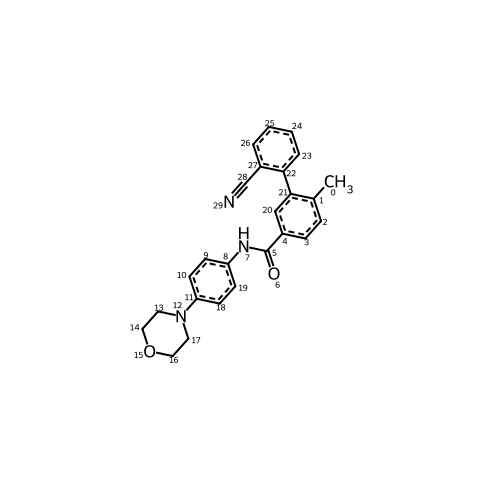 Cc1ccc(C(=O)Nc2ccc(N3CCOCC3)cc2)cc1-c1ccccc1C#N